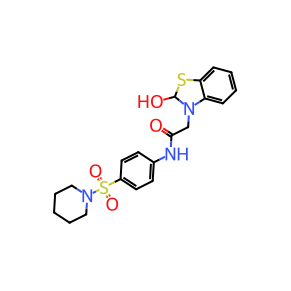 O=C(CN1c2ccccc2SC1O)Nc1ccc(S(=O)(=O)N2CCCCC2)cc1